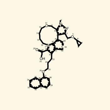 Cn1nc(COC2CC2)c2c1COCCCCn1c(C(=O)O)c(CCCOc3cccc4ccccc34)c3cccc-2c31